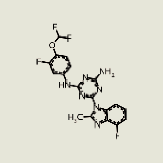 Cc1nc2c(F)cccc2n1-c1nc(N)nc(Nc2ccc(OC(F)F)c(F)c2)n1